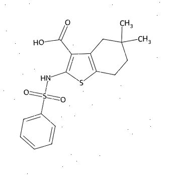 CC1(C)CCc2sc(NS(=O)(=O)c3ccccc3)c(C(=O)O)c2C1